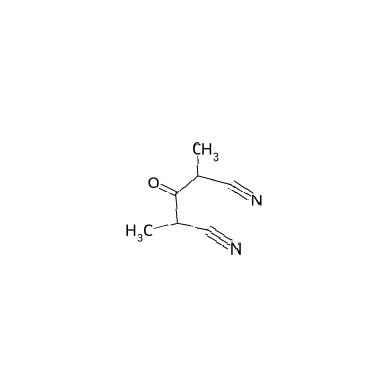 CC(C#N)C(=O)C(C)C#N